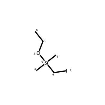 CCO[Si](C)(C)CI